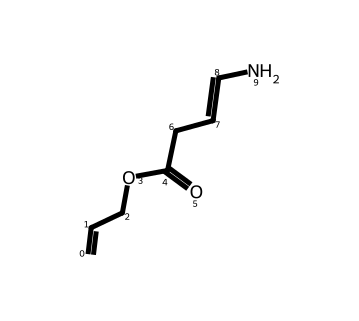 C=CCOC(=O)CC=CN